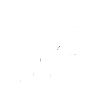 Cc1c([C@@H]2CN3CCN(C(=O)O)C[C@@H]3C(C(C)(C)C)O2)ccc2c1COC2=O